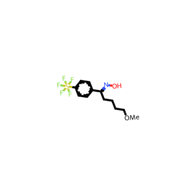 COCCCCC(=NO)c1ccc(S(F)(F)(F)(F)F)cc1